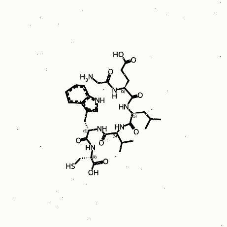 CC(C)C[C@H](NC(=O)[C@H](CCC(=O)O)NC(=O)CN)C(=O)N[C@H](C(=O)N[C@@H](Cc1c[nH]c2ccccc12)C(=O)N[C@@H](CS)C(=O)O)C(C)C